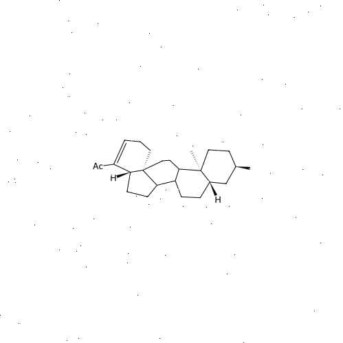 CC(=O)C1=CCC[C@]23CCC4C(CC[C@H]5C[C@H](C)CC[C@]45C)C2CC[C@H]13